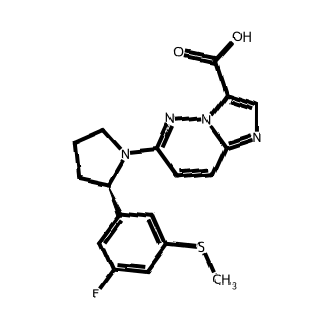 CSc1cc(F)cc([C@H]2CCCN2c2ccc3ncc(C(=O)O)n3n2)c1